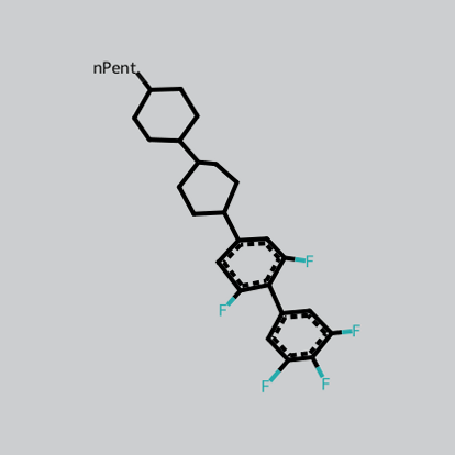 CCCCCC1CCC(C2CCC(c3cc(F)c(-c4cc(F)c(F)c(F)c4)c(F)c3)CC2)CC1